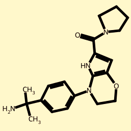 CC(C)(N)c1ccc(N2CCOc3cc(C(=O)N4CCCC4)[nH]c32)cc1